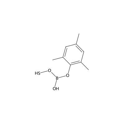 Cc1cc(C)c(OB(O)OS)c(C)c1